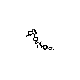 O=C(Nc1ccc(C(F)(F)F)cc1)C1CC12CCC(c1ccnc3ccc(F)cc13)CC2